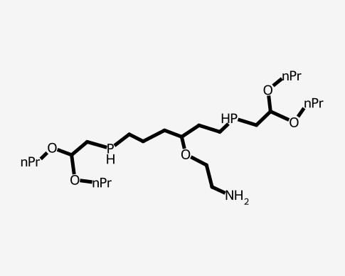 CCCOC(CPCCCC(CCPCC(OCCC)OCCC)OCCN)OCCC